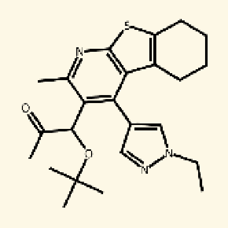 CCn1cc(-c2c(C(OC(C)(C)C)C(C)=O)c(C)nc3sc4c(c23)CCCC4)cn1